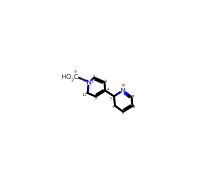 O=C(O)N1C=CC(C2CC=CC=N2)=CC1